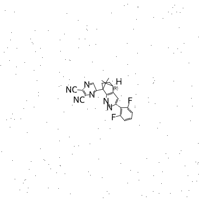 CC1(C)[C@H]2CCC1(c1cnc(C#N)c(C#N)n1)c1nnc(-c3c(F)cccc3F)cc12